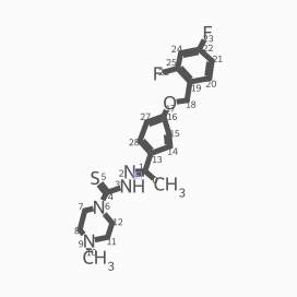 C/C(=N\NC(=S)N1CCN(C)CC1)c1ccc(OCc2ccc(F)cc2F)cc1